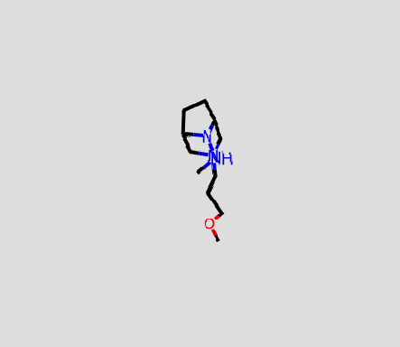 CNN1C2CCC1CN(CCCOC)C2